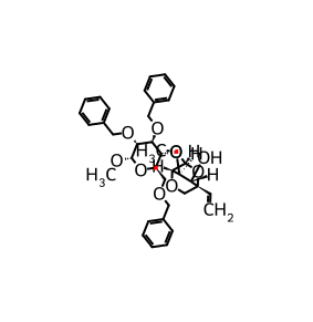 C=C[C@]12CO[C@H]([C@H](O[C@H]3[C@H](OCc4ccccc4)[C@@H](OCc4ccccc4)[C@@H](OC)O[C@@H]3COCc3ccccc3)O1)[C@@H](OC)[C@@H]2O